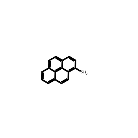 [SiH3]c1ccc2ccc3cccc4ccc1c2c34